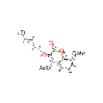 CC/C=C/CCOc1c(OC(C)=O)c2cccc(OC)c2oc1=O